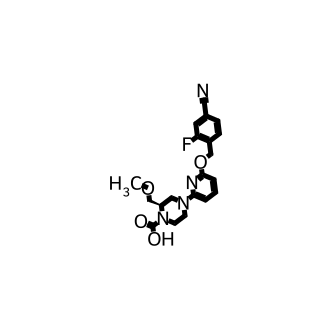 COC[C@H]1CN(c2cccc(OCc3ccc(C#N)cc3F)n2)CCN1C(=O)O